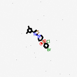 Cc1cc(C)cc(-c2csc(N3CCC(S(=O)(=O)c4ccc(Br)cc4Cl)CC3)n2)c1